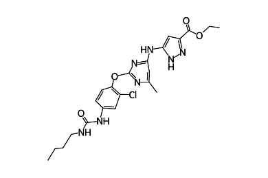 CCCCNC(=O)Nc1ccc(Oc2nc(C)cc(Nc3cc(C(=O)OCC)n[nH]3)n2)c(Cl)c1